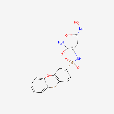 NC(=O)[C@H](CC(=O)NO)NS(=O)(=O)c1ccc2c(c1)Oc1ccccc1S2